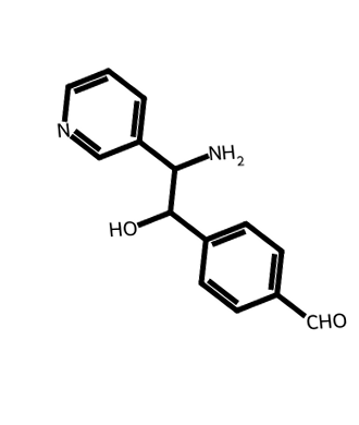 NC(c1cccnc1)C(O)c1ccc(C=O)cc1